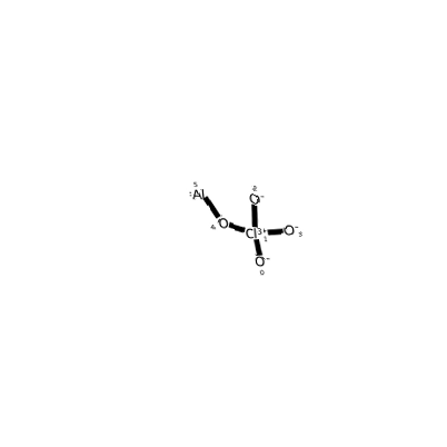 [O-][Cl+3]([O-])([O-])[O][Al]